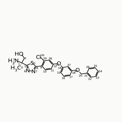 C[C@](N)(CO)c1nnc(-c2ccc(Oc3cccc(OCc4ccccc4)c3)cc2Cl)s1